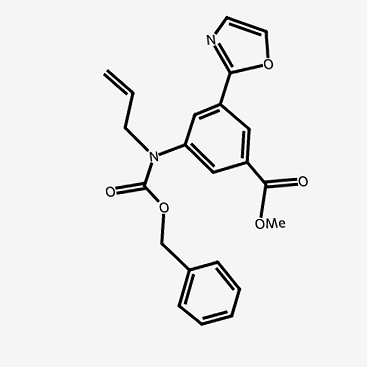 C=CCN(C(=O)OCc1ccccc1)c1cc(C(=O)OC)cc(-c2ncco2)c1